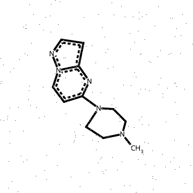 CN1CCN(c2ccn3nccc3n2)CC1